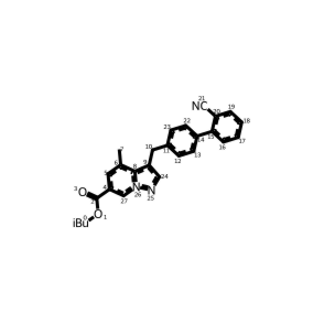 CCC(C)OC(=O)c1cc(C)c2c(Cc3ccc(-c4ccccc4C#N)cc3)cnn2c1